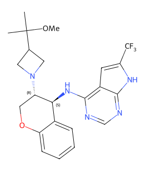 COC(C)(C)C1CN([C@H]2COc3ccccc3[C@@H]2Nc2ncnc3[nH]c(C(F)(F)F)cc23)C1